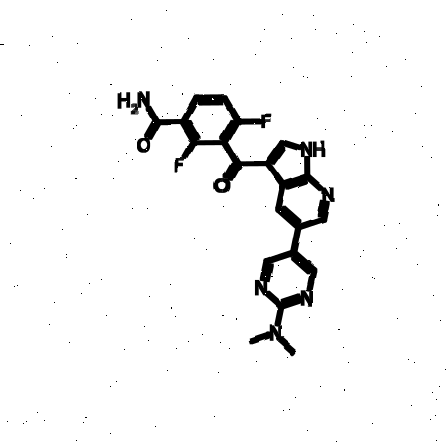 CN(C)c1ncc(-c2cnc3[nH]cc(C(=O)c4c(F)ccc(C(N)=O)c4F)c3c2)cn1